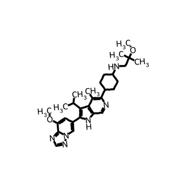 COc1cc(-c2[nH]c3cnc(C4CCC(NCC(C)(C)OC)CC4)c(C)c3c2C(C)C)cn2ncnc12